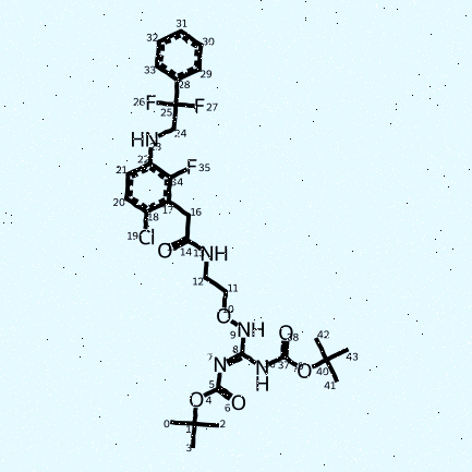 CC(C)(C)OC(=O)N=C(NOCCNC(=O)Cc1c(Cl)ccc(NCC(F)(F)c2ccccc2)c1F)NC(=O)OC(C)(C)C